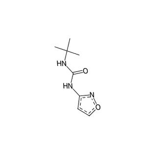 CC(C)(C)NC(=O)Nc1ccon1